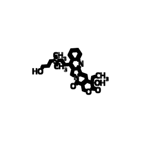 CC[C@@]1(O)C(=O)OCc2c1cc1n(c2=O)Cc2c-1nc1ccccc1c2CC[Si](C)(C)CCCO